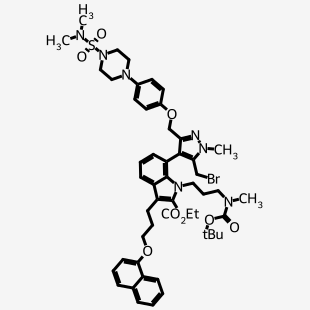 CCOC(=O)c1c(CCCOc2cccc3ccccc23)c2cccc(-c3c(COc4ccc(N5CCN(S(=O)(=O)N(C)C)CC5)cc4)nn(C)c3CBr)c2n1CCCN(C)C(=O)OC(C)(C)C